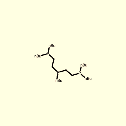 CCCCP(CCCC)CCP(CCCC)CCP(CCCC)CCCC